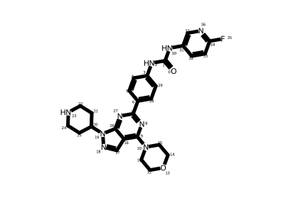 O=C(Nc1ccc(-c2nc(N3CCOCC3)c3cnn(C4CCNCC4)c3n2)cc1)Nc1ccc(F)nc1